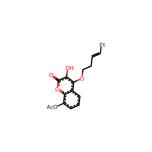 CCC=CCCOc1c(O)c(=O)oc2c(OC(C)=O)cccc12